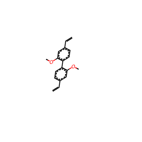 C=Cc1ccc(-c2ccc(C=C)cc2OC)c(OC)c1